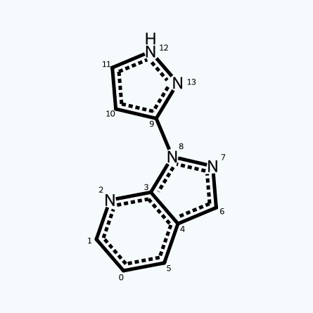 c1cnc2c(c1)cnn2-c1cc[nH]n1